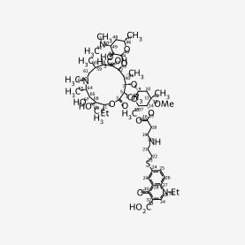 CC[C@@H]1OC(=O)[C@H](C)[C@H](O[C@@H]2C[C@](C)(OC)[C@H](OC(=O)CCNCCSc3ccc4c(c3)c(=O)c(C(=O)O)cn4CC)[C@H](C)O2)[C@@H](C)[C@H](O[C@@H]2O[C@H](C)C[C@H](N(C)C)[C@@H]2O)[C@](C)(O)C[C@H](C)CN(C)[C@H](C)[C@@H](O)[C@]1(C)O